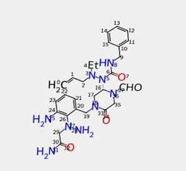 C=CCN(CC)N(C(=O)NCc1ccccc1)[C@H]1CN(Cc2cccc(N)c2N(N)CC(N)=O)C(=O)CN1C=O